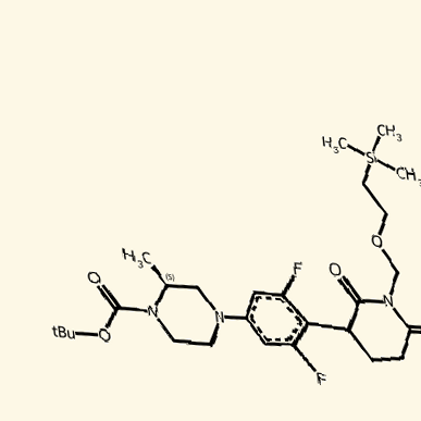 C[C@H]1CN(c2cc(F)c(C3CCC(=O)N(COCC[Si](C)(C)C)C3=O)c(F)c2)CCN1C(=O)OC(C)(C)C